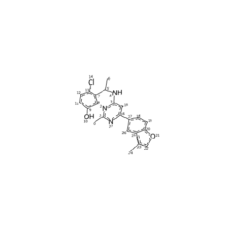 Cc1nc(NC(C)c2cc(O)ccc2Cl)cc(-c2ccc3occ(C)c3c2)n1